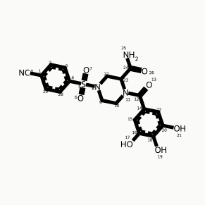 N#Cc1ccc(S(=O)(=O)N2CCN(C(=O)c3cc(O)c(O)c(O)c3)C(C(N)=O)C2)cc1